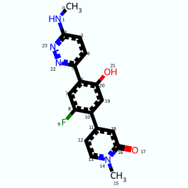 CNc1ccc(-c2cc(F)c(-c3ccn(C)c(=O)c3)cc2O)nn1